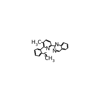 CSc1ccccc1-c1nc(-c2ncc3ccccc3n2)ccc1C